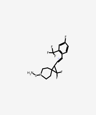 NSN1CCC2(CC1)C(/C=C/c1ccc(F)cc1C(F)(F)F)C2(F)F